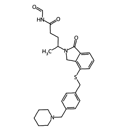 CC(CCC(=O)NC=O)N1Cc2c(SCc3ccc(CN4CCCCC4)cc3)cccc2C1=O